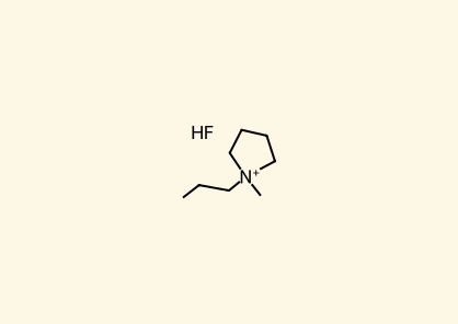 CCC[N+]1(C)CCCC1.F